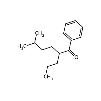 CCCC(CCC(C)C)C(=O)c1ccccc1